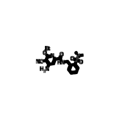 CCOc1nc(C(=O)NCc2ccccc2S(=O)(=O)N(C)C)cc(N)c1C#N